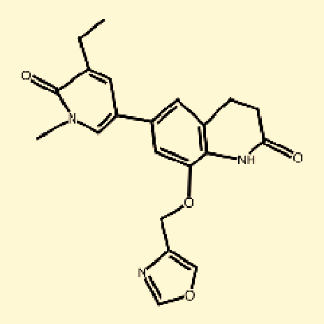 CCc1cc(-c2cc3c(c(OCc4cocn4)c2)NC(=O)CC3)cn(C)c1=O